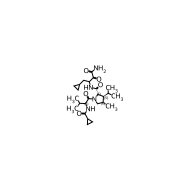 CC(C)[C@@H]1[C@@H](C(=O)NC(CC2CC2)C(=O)C(N)=O)N(C(=O)[C@@H](NC(=O)C2CC2)C(C)C)C[C@@H]1C